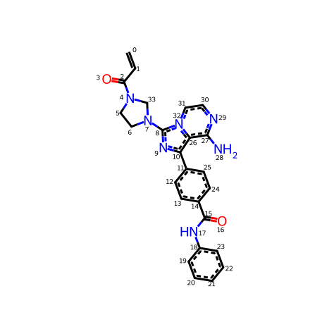 C=CC(=O)N1CCN(c2nc(-c3ccc(C(=O)Nc4ccccc4)cc3)c3c(N)nccn23)C1